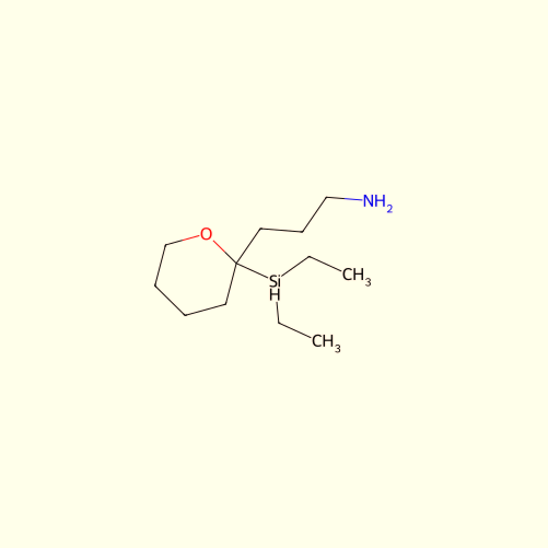 CC[SiH](CC)C1(CCCN)CCCCO1